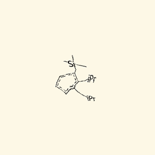 CC(C)c1cccc([Si](C)(C)C)c1C(C)C